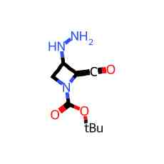 CC(C)(C)OC(=O)N1CC(NN)C1=C=O